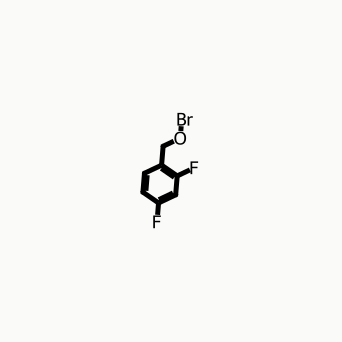 Fc1ccc(COBr)c(F)c1